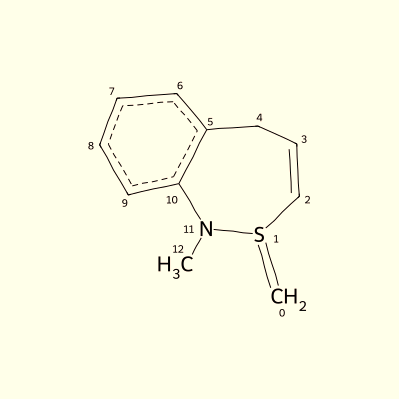 C=S1C=CCc2ccccc2N1C